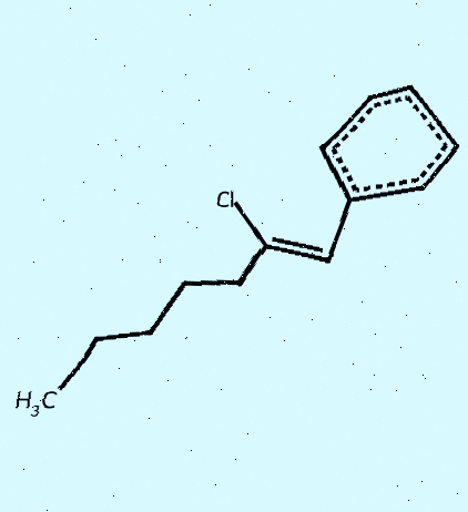 CCCCCC(Cl)=Cc1ccccc1